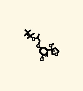 CO[C@@]1(c2cc(OCC(C)O[Si](C)(C)C(C)(C)C)cc(Cl)n2)CCOC1